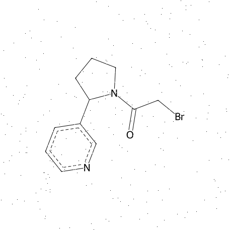 O=C(CBr)N1CCCC1c1cccnc1